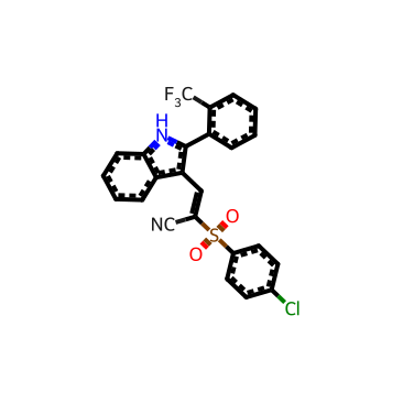 N#CC(=Cc1c(-c2ccccc2C(F)(F)F)[nH]c2ccccc12)S(=O)(=O)c1ccc(Cl)cc1